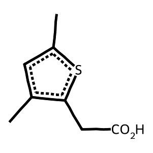 Cc1cc(C)c(CC(=O)O)s1